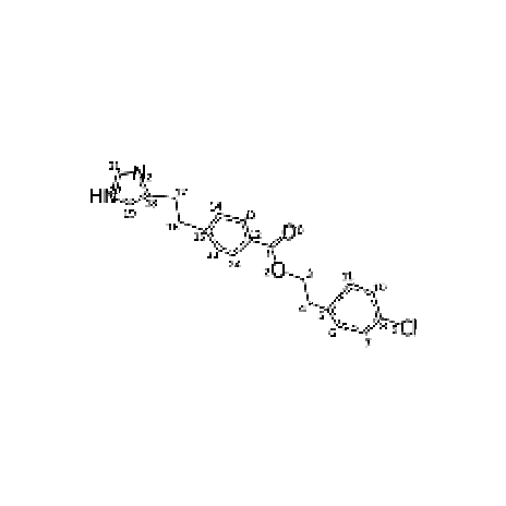 O=C(OCCc1ccc(Cl)cc1)c1ccc(CCc2c[nH]cn2)cc1